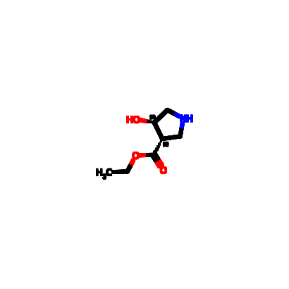 CCOC(=O)[C@H]1CNC[C@@H]1O